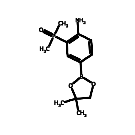 CC1(C)COB(c2ccc(N)c(P(C)(C)=O)c2)O1